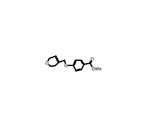 COC(=O)c1ccc(OCC2=CCOCC2)cc1